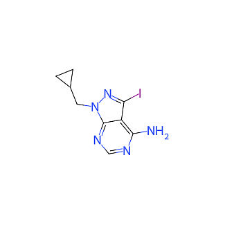 Nc1ncnc2c1c(I)nn2CC1CC1